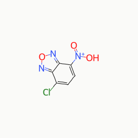 O=[N+](O)c1ccc(Cl)c2nonc12